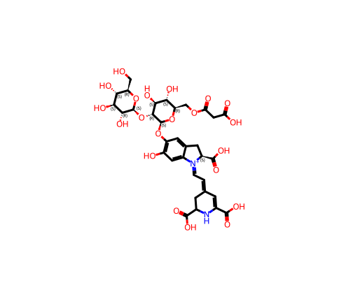 O=C(O)CC(=O)OC[C@H]1O[C@@H](Oc2cc3c(cc2O)[N+](=CC=C2C=C(C(=O)O)NC(C(=O)O)C2)[C@H](C(=O)O)C3)[C@H](O[C@@H]2O[C@H](CO)[C@@H](O)[C@H](O)[C@H]2O)[C@@H](O)[C@@H]1O